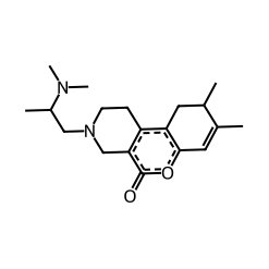 CC1=Cc2oc(=O)c3c(c2CC1C)CCN(CC(C)N(C)C)C3